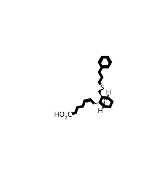 O=C(O)CCC/C=C\C[C@@H]1[C@@H](CSCCCc2ccccc2)[C@@H]2CC[C@H]1O2